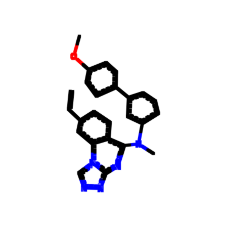 C=Cc1ccc2c(N(C)c3cccc(-c4ccc(OC)cc4)c3)nc3nncn3c2c1